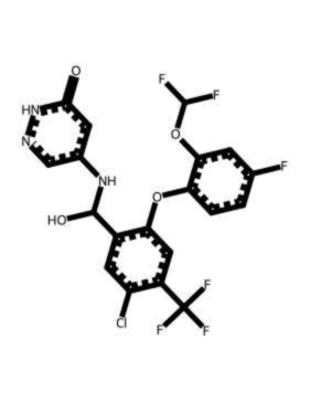 O=c1cc(NC(O)c2cc(Cl)c(C(F)(F)F)cc2Oc2ccc(F)cc2OC(F)F)cn[nH]1